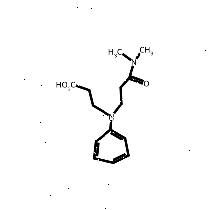 CN(C)C(=O)CCN(CCC(=O)O)c1ccccc1